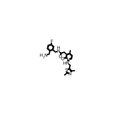 Cc1nc(C)c(CNn2ccc(C)c(CC(=O)NCc3cc(F)ccc3CN)c2=O)s1